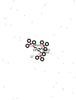 CCCCCC(/C=[CH]/[Al-](/[CH]=C/C(CCCCC)OC(c1ccccc1)(c1ccccc1)c1ccccc1)(/[CH]=C/C(CCCCC)OC(c1ccccc1)(c1ccccc1)c1ccccc1)[CH2]C)OC(c1ccccc1)(c1ccccc1)c1ccccc1.[Li+]